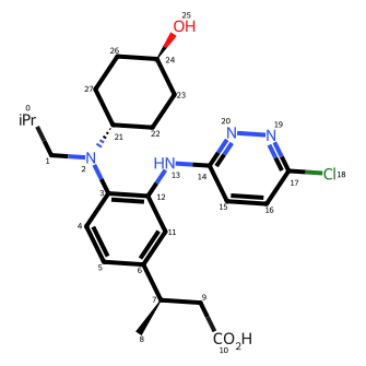 CC(C)CN(c1ccc([C@H](C)CC(=O)O)cc1Nc1ccc(Cl)nn1)[C@H]1CC[C@H](O)CC1